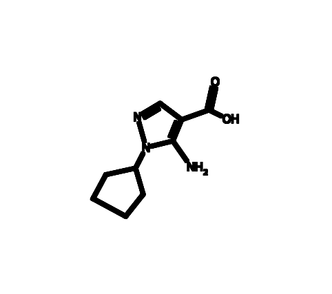 Nc1c(C(=O)O)cnn1C1CCCC1